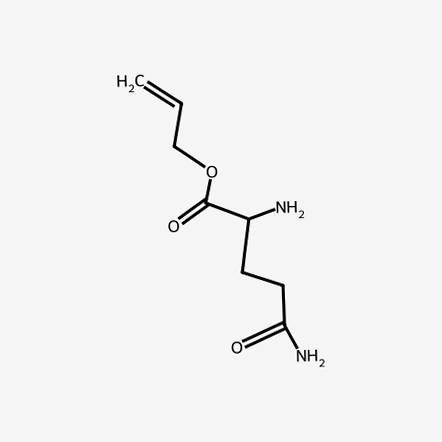 C=CCOC(=O)C(N)CCC(N)=O